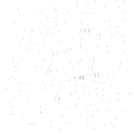 C=CC(=O)OC(O)CC.OCCO